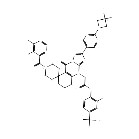 Cc1ncnc(C(=O)N2CCC3(CCCc4c3c(=O)n3nc(-c5cnc(N6CC(F)(F)C6)nc5)nc3n4CC(=O)Nc3ccc(C(F)(F)F)cc3Cl)CC2)c1O